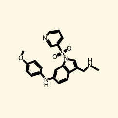 CNCc1cn(S(=O)(=O)c2cccnc2)c2cc(Nc3ccc(OC)cc3)ccc12